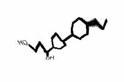 CCCC1CCC(C2CCC(C(O)CCO)CC2)CC1